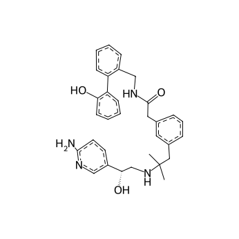 CC(C)(Cc1cccc(CC(=O)NCc2ccccc2-c2ccccc2O)c1)NC[C@H](O)c1ccc(N)nc1